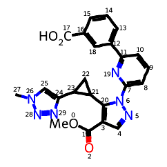 COC(=O)c1cnn(-c2cccc(-c3cccc(C(=O)O)c3)n2)c1C1CC1c1cn(C)nn1